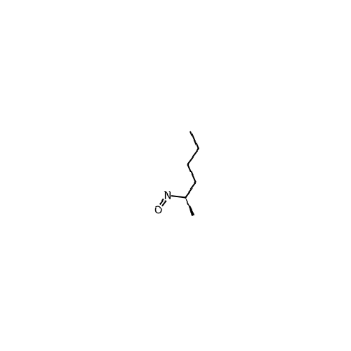 CCCC[C@@H](C)N=O